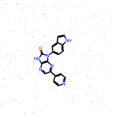 O=c1[nH]c2ncc(-c3ccncc3)nc2n1-c1ccc2[nH]ccc2c1